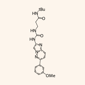 COc1cccc(-c2ccc3nc(NC(=O)NCCC(=O)NC(C)(C)C)cn3n2)c1